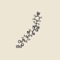 CC(C)(C)OC(=O)N1CCN(c2cnc(-c3nc(C(C)(C)c4ccc(Br)cc4)no3)cn2)CC1